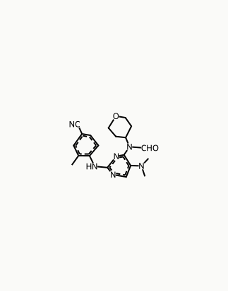 Cc1cc(C#N)ccc1Nc1ncc(N(C)C)c(N(C=O)C2CCOCC2)n1